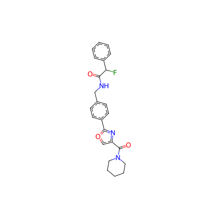 O=C(NCc1ccc(-c2nc(C(=O)N3CCCCC3)co2)cc1)C(F)c1ccccc1